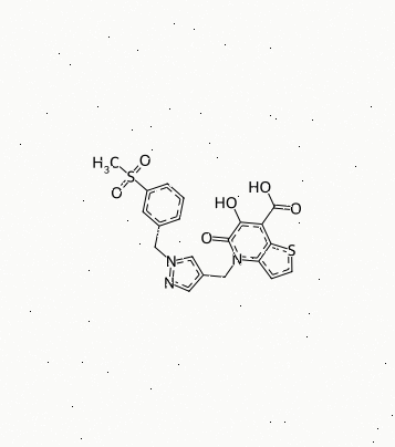 CS(=O)(=O)c1cccc(Cn2cc(Cn3c(=O)c(O)c(C(=O)O)c4sccc43)cn2)c1